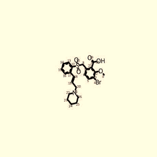 COc1c(Br)ccc(CS(=O)(=O)c2ccccc2/C=C/CN2CCCCC2)c1C(=O)O